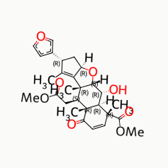 COC(=O)C[C@H]1[C@]2(C)C3=C(C)[C@H](c4ccoc4)C[C@H]3O[C@@H]2[C@H](O)[C@@H]2[C@]1(C)C(=O)C=C[C@@]2(C)C(=O)OC